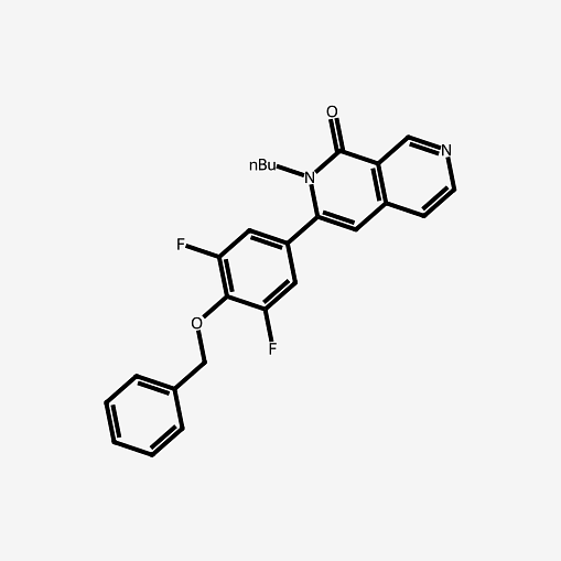 CCCCn1c(-c2cc(F)c(OCc3ccccc3)c(F)c2)cc2ccncc2c1=O